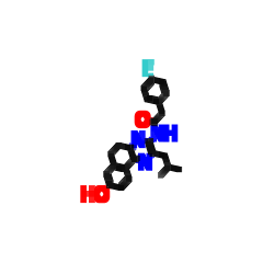 CC(C)Cc1nc2c(nc1NC(=O)Cc1ccc(F)cc1)CCc1cc(O)ccc1-2